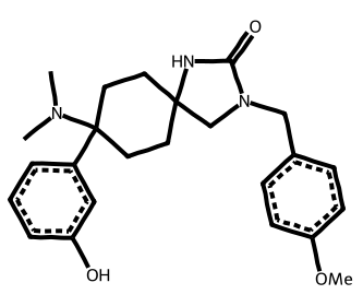 COc1ccc(CN2CC3(CCC(c4cccc(O)c4)(N(C)C)CC3)NC2=O)cc1